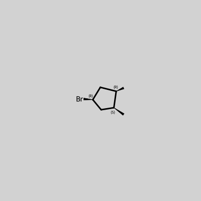 C[C@@H]1C[C@H](Br)C[C@@H]1C